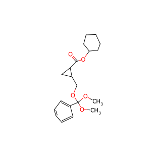 COC(OC)(OCC1CC1C(=O)OC1CCCCC1)c1ccccc1